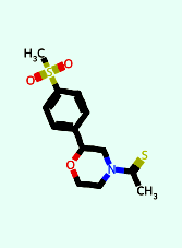 CC(=S)N1CCOC(c2ccc(S(C)(=O)=O)cc2)C1